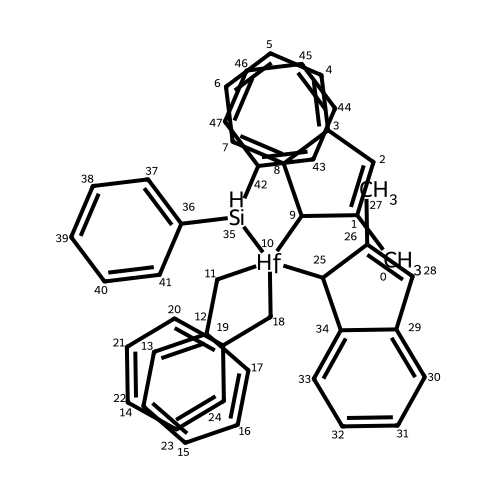 CC1=Cc2ccccc2[CH]1[Hf]([CH2]c1ccccc1)([CH2]c1ccccc1)([CH]1C(C)=Cc2ccccc21)[SiH](c1ccccc1)c1ccccc1